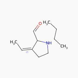 C/C=C1/CCNC1C=O.CCCC